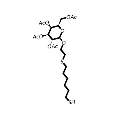 CC(=O)OC[C@H]1O[C@@H](OCCSCCCCCCS)[C@H](OC(C)=O)[C@@H](OC(C)=O)[C@H]1OC(C)=O